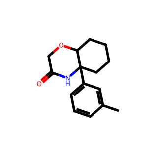 Cc1cccc(C23CCCCC2OCC(=O)N3)c1